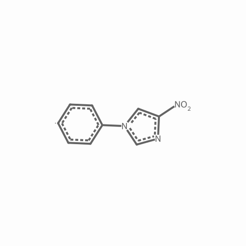 O=[N+]([O-])c1cn(-c2cc[c]cc2)cn1